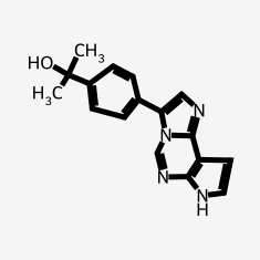 CC(C)(O)c1ccc(-c2cnc3c4cc[nH]c4ncn23)cc1